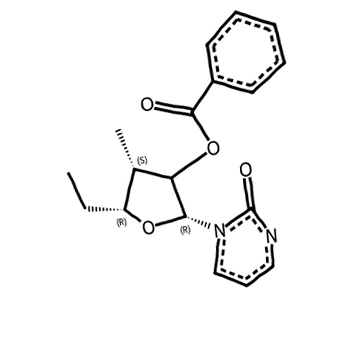 CC[C@H]1O[C@@H](n2cccnc2=O)C(OC(=O)c2ccccc2)[C@H]1C